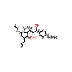 C=CCc1cc(CC=C)c(OC)c(C=CC(=O)c2ccc(NC)cc2)c1O